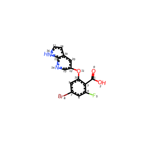 O=C(O)c1c(F)cc(Br)cc1Oc1cnc2[nH]ccc2c1